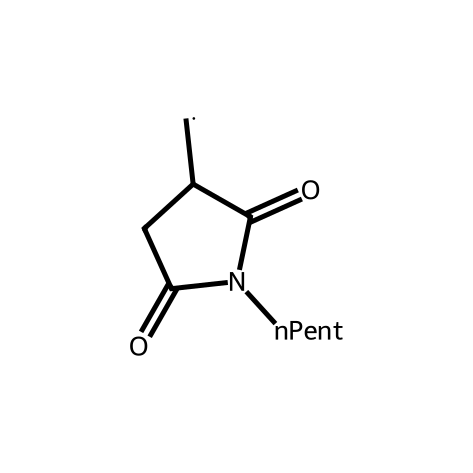 [CH2]C1CC(=O)N(CCCCC)C1=O